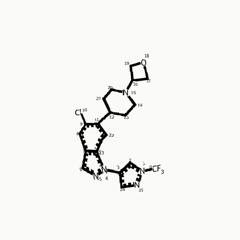 FC(F)(F)n1cc(-n2ncc3cc(Cl)c(C4CCN(C5COC5)CC4)cc32)cn1